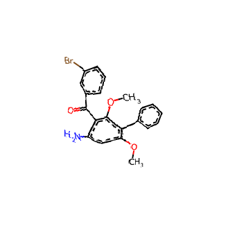 COc1cc(N)c(C(=O)c2cccc(Br)c2)c(OC)c1-c1ccccc1